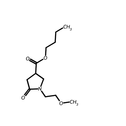 CCCCOC(=O)C1CC(=O)N(CCOC)C1